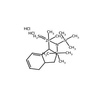 C[Si](C)(C)[N]([Si](C)(C)C)[Zr]([CH3])([CH3])(=[SiH2])[CH]1CCC2CC=CC=C21.Cl.Cl